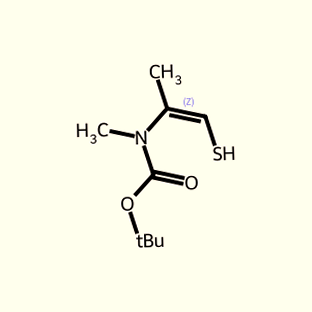 C/C(=C/S)N(C)C(=O)OC(C)(C)C